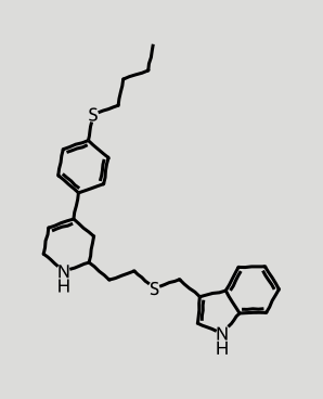 CCCCSc1ccc(C2=CCNC(CCSCc3c[nH]c4ccccc34)C2)cc1